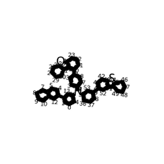 c1cc(-c2ccc3ccccc3c2)cc(N(c2ccc(-c3cccc4oc5ccccc5c34)cc2)c2cccc(-c3ccc4sc5ccccc5c4c3)c2)c1